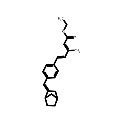 CCOC(=O)C=C(C)C=Cc1ccc(C=C2CC3CCC2C3)cc1